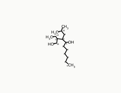 CCCCCCC(O)C(CC(C)C)C(CC)CO